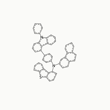 c1ccc(-n2c3ccccc3c3c(-c4ccc(N(c5ccc6ccc7ccccc7c6c5)c5cccc6sc7ccccc7c56)cc4)cccc32)cc1